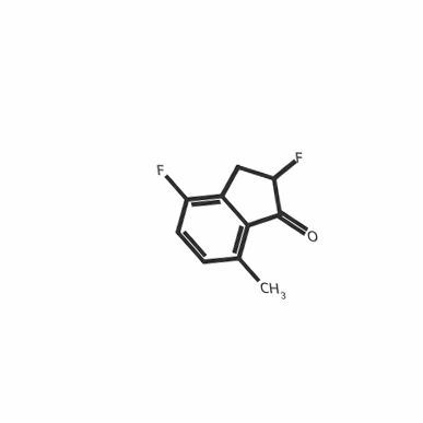 Cc1ccc(F)c2c1C(=O)C(F)C2